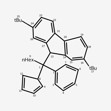 CCCCCCC(c1ccccc1)(C1C=CC=C1)C1c2cc(C(C)(C)C)ccc2-c2ccc(C(C)(C)C)cc21